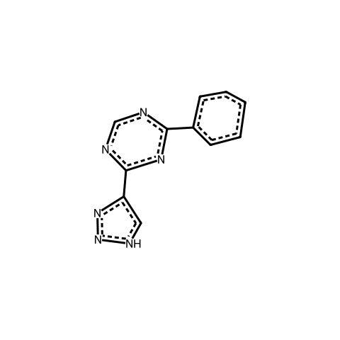 c1ccc(-c2ncnc(-c3c[nH]nn3)n2)cc1